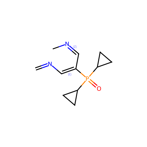 C=N/C=C(\C=N/C)P(=O)(C1CC1)C1CC1